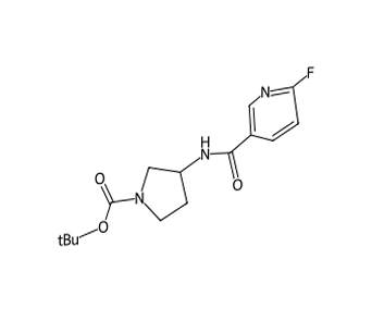 CC(C)(C)OC(=O)N1CCC(NC(=O)c2ccc(F)nc2)C1